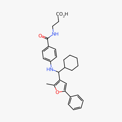 Cc1oc(-c2ccccc2)cc1C(Nc1ccc(C(=O)NCCC(=O)O)cc1)C1CCCCC1